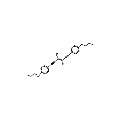 CCCCc1ccc(C#C/C(F)=C(\F)C#Cc2ccc(OCCC)cc2)cc1